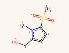 Cn1c(CO)ccc1S(C)(=O)=O